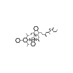 C=CC1=NC(CC(=C)N(CC)c2ccccc2Nc2c(C(C)C)cc(-c3ccccc3)cc2C(C)C)C(CCC(=C)/C=C(\C)SC(=C)/C=C\C)c2ccccc21